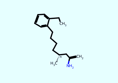 C=C(N)C[C@H](C)CCCCc1ccccc1CC